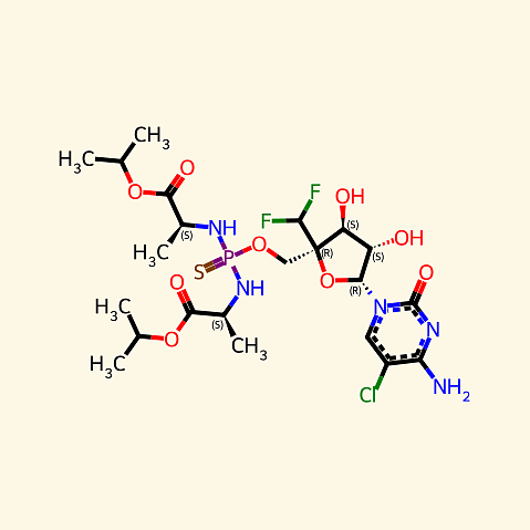 CC(C)OC(=O)[C@H](C)NP(=S)(N[C@@H](C)C(=O)OC(C)C)OC[C@@]1(C(F)F)O[C@@H](n2cc(Cl)c(N)nc2=O)[C@@H](O)[C@@H]1O